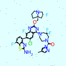 Cc1cnn(C(=O)N2CCN(c3nc(OC[C@@]45CCCN4C[C@H](F)C5)nc4c(F)c(-c5ccc(F)c6sc(N)nc56)c(Cl)cc34)CC(F)(F)C2)c1